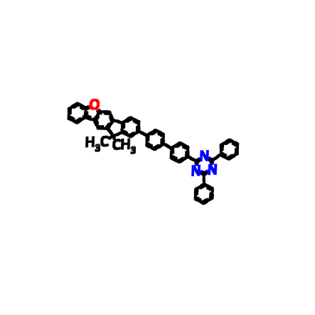 CC1(C)c2cc(-c3ccc(-c4ccc(-c5nc(-c6ccccc6)nc(-c6ccccc6)n5)cc4)cc3)ccc2-c2cc3oc4ccccc4c3cc21